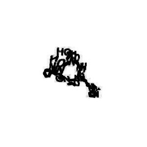 CC(C)[C@H]1C(=O)N[C@@H](CCCCn2cc[n+]3ncccc23)C(=O)NCC(=O)N[C@@H](CC(=O)O)C(=O)N[C@H](Cc2c[nH]c3ccccc23)C(=O)N1C